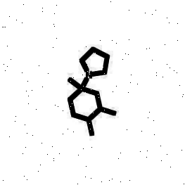 CC1CCC(C)(N2CCCC2)CC1C